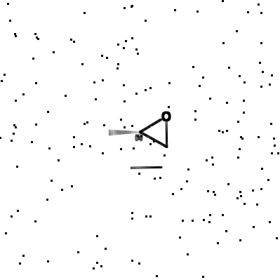 CC.C[C@H]1CO1